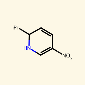 CC(C)C1C=CC([N+](=O)[O-])=CN1